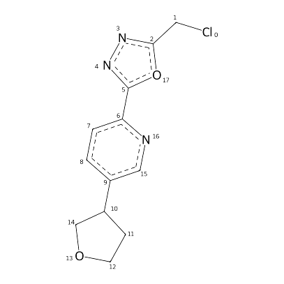 ClCc1nnc(-c2ccc(C3CCOC3)cn2)o1